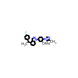 COc1cc(-n2ncc3c(C(C)c4ccc(F)cc4)cccc32)ccc1-n1cnc(C)c1